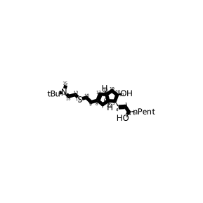 CCCCC[C@H](O)/C=C/[C@@H]1[C@H]2CC(CCSCCN(C)C(C)(C)C)=C[C@H]2C[C@H]1O